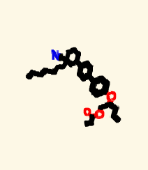 C=CC(=O)OCC(CCC)Oc1ccc(-c2ccc(C3CCCC(C#N)(CCCCCCC)C3)cc2)cc1